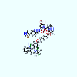 Cc1ncsc1-c1ccc(CNC(=O)[C@@H]2C[C@@H](O)CN2C(=O)C(NC(=O)C2(OCCCCCCOc3cc(F)c([C@@H]4c5[nH]c6ccccc6c5C[C@@H](C)N4CC(C)(C)F)c(F)c3)CC2)C(C)(C)C)cc1